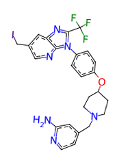 Nc1cc(CN2CCC(Oc3ccc(-n4c(C(F)(F)F)nc5cc(CI)cnc54)cc3)CC2)ccn1